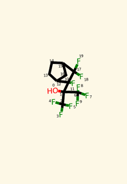 OC(C(F)(F)F)(C(F)(F)F)C1(F)C2CCC(C2)C1(F)F